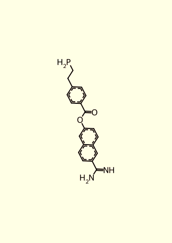 N=C(N)c1ccc2cc(OC(=O)c3ccc(CCP)cc3)ccc2c1